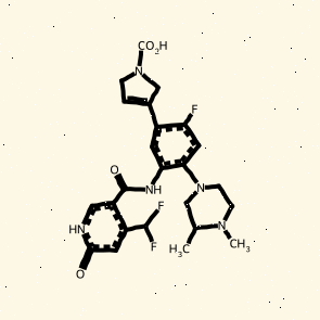 CC1CN(c2cc(F)c(C3=CCN(C(=O)O)C3)cc2NC(=O)c2c[nH]c(=O)cc2C(F)F)CCN1C